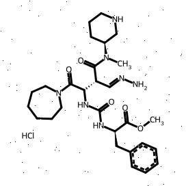 COC(=O)[C@@H](Cc1ccccc1)NC(=O)NC(C(=O)N1CCCCCC1)[C@@H](C=NN)C(=O)N(C)[C@H]1CCCNC1.Cl